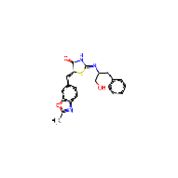 Cc1nc2ccc(/C=C3\S/C(=N\C(CO)Cc4ccccc4)NC3=O)cc2o1